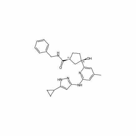 Cc1cc(Nc2cc(C3CC3)[nH]n2)nc([C@@]2(O)CC[C@H](C(=O)NCc3ccccc3)C2)c1